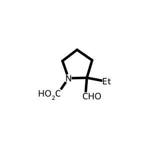 CCC1(C=O)CCCN1C(=O)O